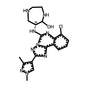 Cc1nn(C)cc1-c1nc2c3cccc(Cl)c3nc(N[C@@H]3CNCCNC3O)n2n1